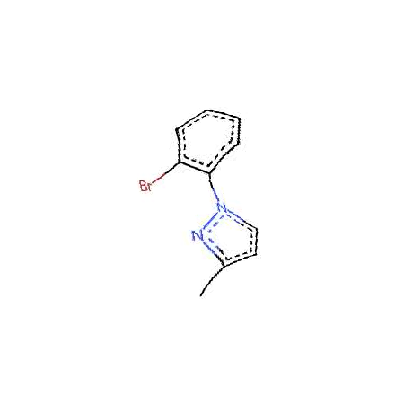 Cc1ccn(-c2ccccc2Br)n1